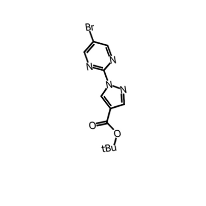 CC(C)(C)OC(=O)c1cnn(-c2ncc(Br)cn2)c1